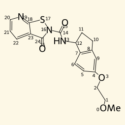 COCCOc1ccc2c(c1)CCC2NC(=O)n1sc2ncccc2c1=O